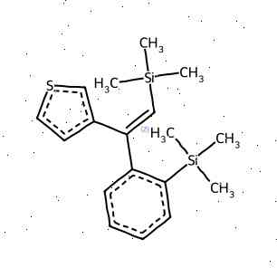 C[Si](C)(C)/C=C(\c1ccsc1)c1ccccc1[Si](C)(C)C